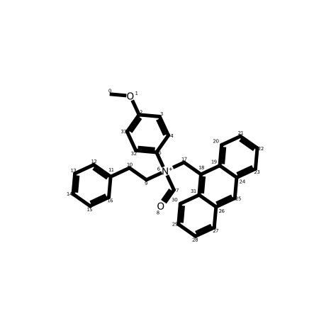 COc1ccc([N+](C=O)(CCc2ccccc2)Cc2c3ccccc3cc3ccccc23)cc1